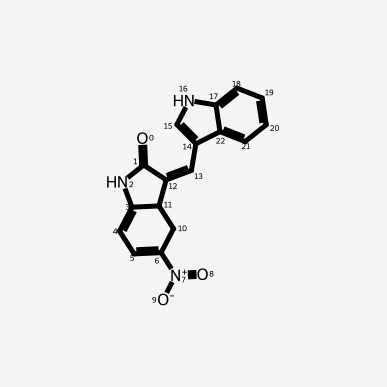 O=C1NC2=CC=C([N+](=O)[O-])CC2C1=Cc1c[nH]c2ccccc12